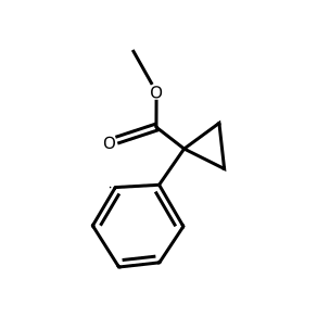 COC(=O)C1(c2[c]cccc2)CC1